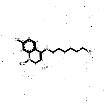 CN1CC=C(NCCCCCCO)c2ccc(Cl)cc21.I